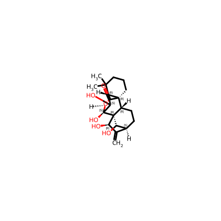 C=C1[C@@H](O)[C@]23C(O)[C@H]1CC[C@H]2[C@]12CCCC(C)(C)[C@H]1[C@H](O)[C@@]3(O)OC2=O